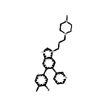 Cc1ccc(-c2cc3ncn(CCCN4CCN(C)CC4)c3cc2-c2cccnc2)cc1F